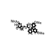 COc1ccc(C(OCC(CO)OCn2cnc3c(=O)[nH]c(NC(C)=O)nc32)(c2ccccc2)c2ccc(OC)cc2)cc1